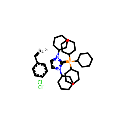 [Cl-].[Cl-].[Ru+2]=[CH]c1ccccc1.c1cn(C2CCCCC2)c(=P(C2CCCCC2)(C2CCCCC2)C2CCCCC2)n1C1CCCCC1